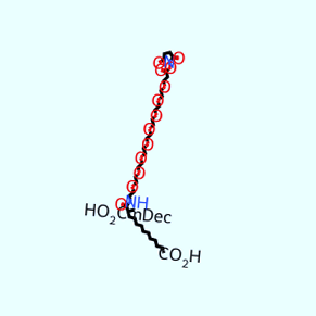 CCCCCCCCCCCC(CCCCCCCCCCC(=O)O)(C(=O)O)C(=O)NCCOCCOCCOCCOCCOCCOCCOCCOCCC(=O)ON1C(=O)CCC1=O